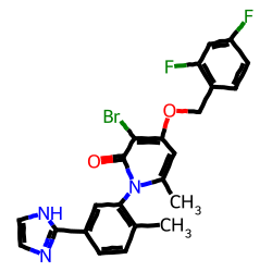 Cc1ccc(-c2ncc[nH]2)cc1-n1c(C)cc(OCc2ccc(F)cc2F)c(Br)c1=O